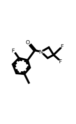 Cc1ccc(F)c(C(=O)N2CC(F)(F)C2)c1